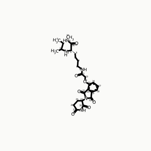 CCC(C)N[C@@H](CCCCNC(=O)COc1cccc2c1C(=O)N(C1CCC(=O)NC1=O)C2=O)C(=O)NC